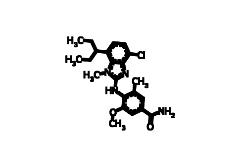 CCC(CC)c1ccc(Cl)c2nc(Nc3c(C)cc(C(N)=O)cc3OC)n(C)c12